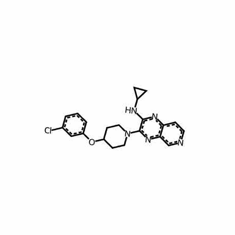 Clc1cccc(OC2CCN(c3nc4cnccc4nc3NC3CC3)CC2)c1